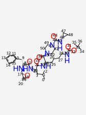 CC(C)C[C@@H](NC(=O)[C@@H](Cc1ccccc1)NC1O[C@@H]1C)C(=O)N[C@H](CCCCNC(=O)OC(C)(C)C)C(=O)N1CCN(C(=O)NC2CC2)CC1